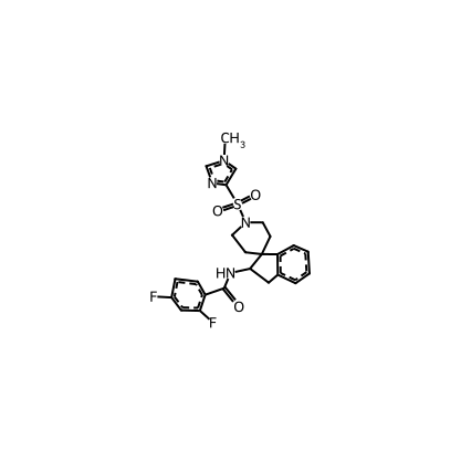 Cn1cnc(S(=O)(=O)N2CCC3(CC2)c2ccccc2CC3NC(=O)c2ccc(F)cc2F)c1